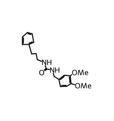 COc1ccc(CNC(=O)NCCCc2ccccc2)cc1OC